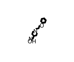 ON=CC1CCN(CCCOc2ccccc2)CC1